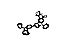 O=c1oc2ccncc2c2cc3c4cc(-c5ccc6c(c5)c5ccccc5n6-c5ccccc5)ccc4n(-c4ccccc4)c3cc12